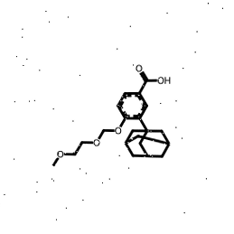 COCCOCOc1ccc(C(=O)O)cc1C12CC3CC(CC(C3)C1)C2